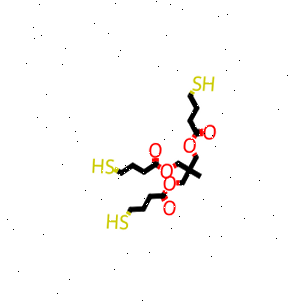 CC(COC(=O)CCCS)(COC(=O)CCCS)COC(=O)CCCS